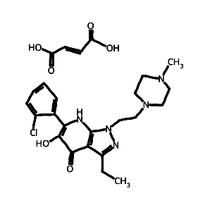 CCc1nn(CCN2CCN(C)CC2)c2[nH]c(-c3ccccc3Cl)c(O)c(=O)c12.O=C(O)/C=C/C(=O)O